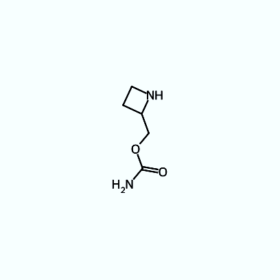 NC(=O)OCC1CCN1